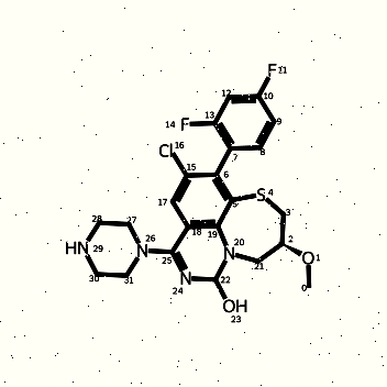 CO[C@@H]1CSc2c(-c3ccc(F)cc3F)c(Cl)cc3c2N(C1)C(O)N=C3N1CCNCC1